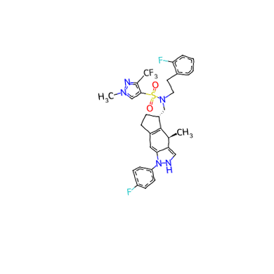 C[C@H]1C2=CNN(c3ccc(F)cc3)C2=CC2=C1[C@@H](CN(CCc1ccccc1F)S(=O)(=O)c1cn(C)nc1C(F)(F)F)CC2